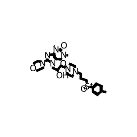 Cc1ccc([S+]([O-])CCCN2CCN(CC(O)Cn3c(N4CCOCC4)nc4c3c(=O)n(C)c(=O)n4C)CC2)cc1